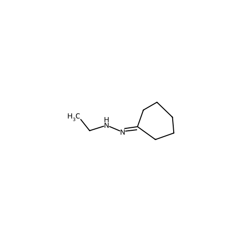 CCNN=C1CCCCC1